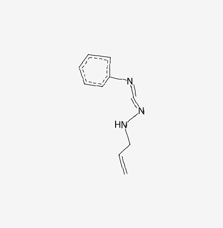 C=CCNN=C=Nc1ccccc1